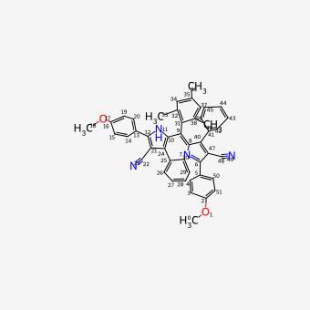 COc1ccc(C2=N/C(=C(\c3[nH]c(-c4ccc(OC)cc4)c(C#N)c3-c3ccccc3)c3c(C)cc(C)cc3C)C(c3ccccc3)=C2C#N)cc1